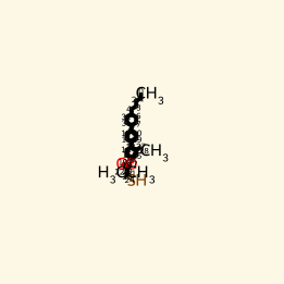 CCCCCC1CCC(c2ccc(-c3ccc(OC(=O)C(C)(C)CS)cc3CC)cc2)CC1